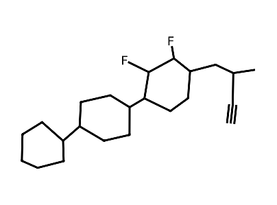 C#CC(C)CC1CCC(C2CCC(C3CCCCC3)CC2)C(F)C1F